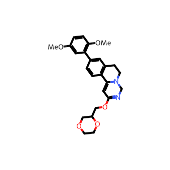 COc1ccc(OC)c(-c2ccc3c(c2)CCN2CN=C(OCC4COCCO4)C=C32)c1